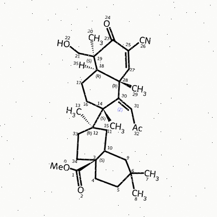 COC(=O)[C@]12CCC(C)(C)CC1C[C@](C)([C@]1(C)CC[C@H]3[C@@](C)(CO)C(=O)C(C#N)=C[C@]3(C)/C1=C/C(C)=O)CC2